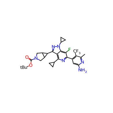 Cc1nc(N)cc(-c2nc(C3CC3)c3c(C4C5CN(C(=O)OC(C)(C)C)CC54)nn(C4CC4)c3c2F)c1C(F)(F)F